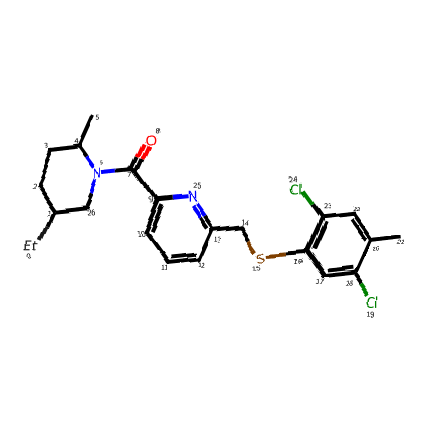 CCC1CCC(C)N(C(=O)c2cccc(CSc3cc(Cl)c(C)cc3Cl)n2)C1